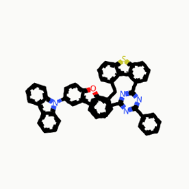 c1ccc(-c2nc(-c3ccccc3)nc(-c3cccc4sc5cccc(Cc6cccc7c6oc6ccc(-n8c9ccccc9c9ccccc98)cc67)c5c34)n2)cc1